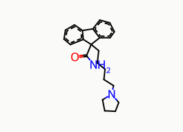 NC(=O)C1(CCCCCN2CCCC2)c2ccccc2-c2ccccc21